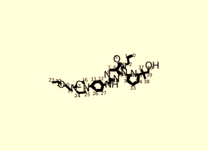 C=CCn1c(=O)c2cnc(Nc3ccc(N4CCN(CCOCC)CC4)cc3)nc2n1-c1cccc(C(C)(C)CO)n1